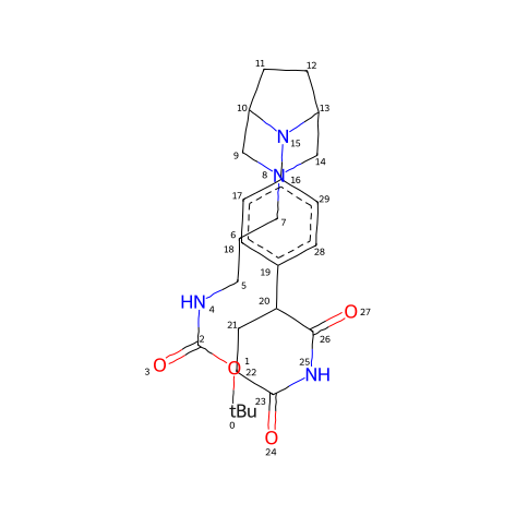 CC(C)(C)OC(=O)NCCCN1CC2CCC(C1)N2c1ccc(C2CCC(=O)NC2=O)cc1